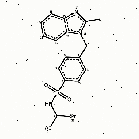 CC(=O)C(NS(=O)(=O)c1ccc(Cn2c(C)nc3ccccc32)cc1)C(C)C